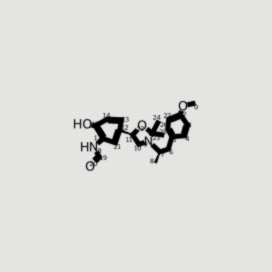 COc1ccc(C[C@@H](C)N2C[C@@H](c3ccc(O)c(NC=O)c3)OC2(C)C)cc1